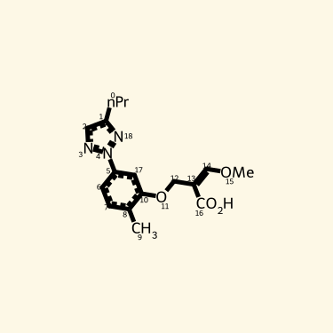 CCCc1cnn(-c2ccc(C)c(OC/C(=C/OC)C(=O)O)c2)n1